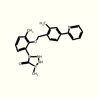 Cc1cc(-c2ccccn2)ccc1COc1c(C)cccc1N1NNN(C)C1=O